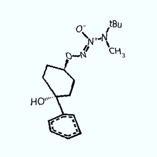 CN(/[N+]([O-])=N/O[C@H]1CC[C@@](O)(c2ccccc2)CC1)C(C)(C)C